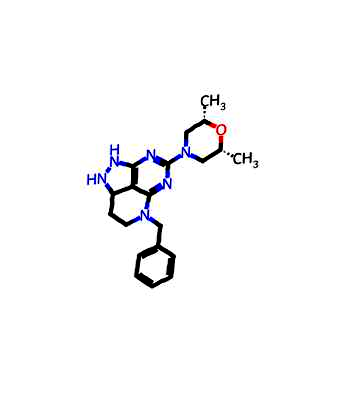 C[C@@H]1CN(c2nc3c4c(n2)N(Cc2ccccc2)CCC4NN3)C[C@H](C)O1